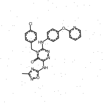 Cc1noc(Nc2nnc(Nc3ccc(Oc4ccccn4)cc3)n(Cc3ccc(Cl)cc3)c2=O)n1